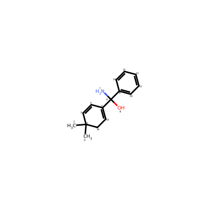 CC1(C)C=CC(C(N)(O)c2ccccc2)=CC1